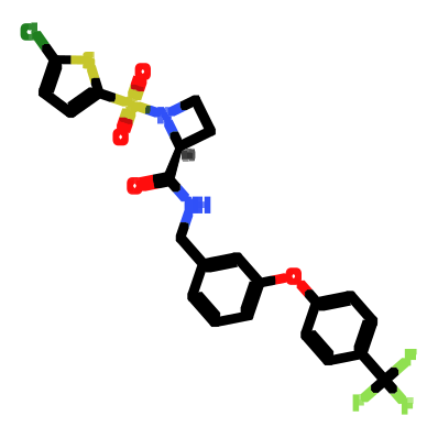 O=C(NCc1cccc(Oc2ccc(C(F)(F)F)cc2)c1)[C@@H]1CCN1S(=O)(=O)c1ccc(Cl)s1